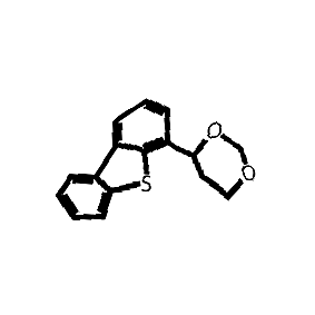 c1ccc2c(c1)sc1c(C3CCOCO3)cccc12